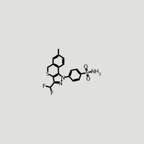 Cc1ccc2c(c1)CSc1c(C(F)F)nn(-c3ccc(S(N)(=O)=O)cc3)c1-2